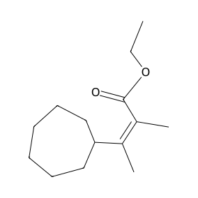 CCOC(=O)C(C)=C(C)C1CCCCCC1